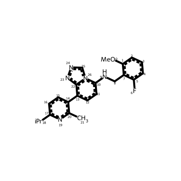 COc1cccc(F)c1CNc1ccc(-c2ccc(C(C)C)nc2C)c2nncn12